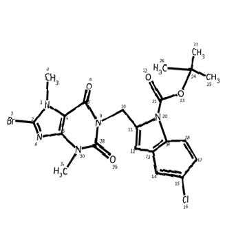 Cn1c(Br)nc2c1c(=O)n(Cc1cc3cc(Cl)ccc3n1C(=O)OC(C)(C)C)c(=O)n2C